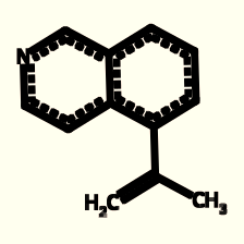 C=C(C)c1cccc2cnccc12